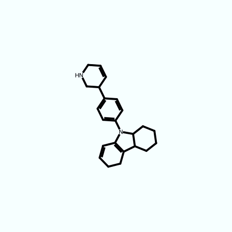 C1=CC2=C(CC1)C1CCCCC1N2c1ccc(C2C=CCNC2)cc1